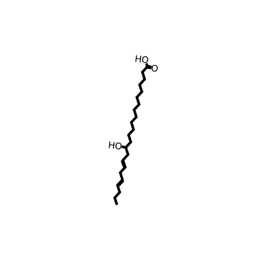 CCCC=CCC=CCC(O)CCCCCCCCCCCCC(=O)O